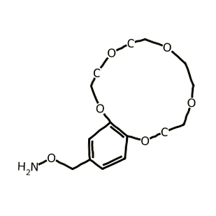 NOCc1ccc2c(c1)OCCOCCOCCOCCO2